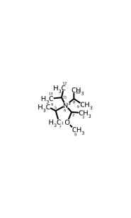 COC(C)[N+](C(C)C)(C(C)C)C(C)C